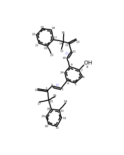 C=C(/C=C/c1ccc(O)c(/C=C/C(=C)C(C)(C)c2ccccc2C)c1)C(C)(C)c1ccccc1C